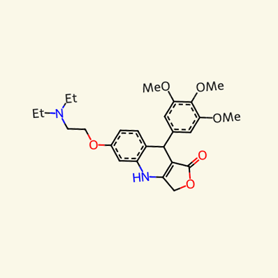 CCN(CC)CCOc1ccc2c(c1)NC1=C(C(=O)OC1)C2c1cc(OC)c(OC)c(OC)c1